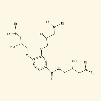 CCN(CC)CC(O)COC(=O)c1ccc(OCC(O)CN(CC)CC)c(OCC(O)CN(CC)CC)c1